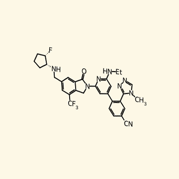 CCNc1cc(-c2ccc(C#N)cc2-c2nncn2C)cc(N2Cc3c(cc(CN[C@@H]4CCC[C@@H]4F)cc3C(F)(F)F)C2=O)n1